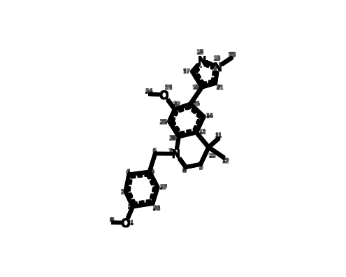 COc1ccc(CN2CCC(C)(C)c3cc(-c4cnn(C)c4)c(OC)cc32)cc1